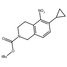 CC(C)(C)OC(=O)N1CCc2c(ccc(C3CC3)c2[N+](=O)[O-])C1